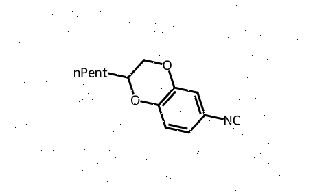 [C-]#[N+]c1ccc2c(c1)OCC(CCCCC)O2